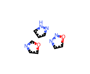 c1cn[nH]c1.c1cocn1.c1conn1